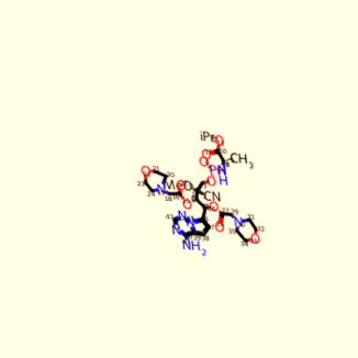 CO[C@](C#N)(CO[PH](=O)N[C@@H](C)C(=O)OC(C)C)[C@@H](OC(=O)CN1CCOCC1)[C@@H](OC(=O)CN1CCOCC1)c1ccc2c(N)ncnn12